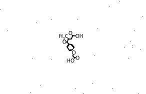 CC(CC(=O)O)C(=O)c1ccc(OCC(=O)O)cc1